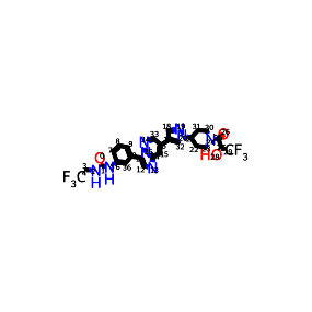 O=C(NCC(F)(F)F)Nc1cccc(-c2cnc3cc(-c4cnn(C5CCN(C(=O)C(O)C(F)(F)F)CC5)c4)cnn23)c1